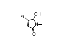 CCC1=CC(=O)N(C)C1O